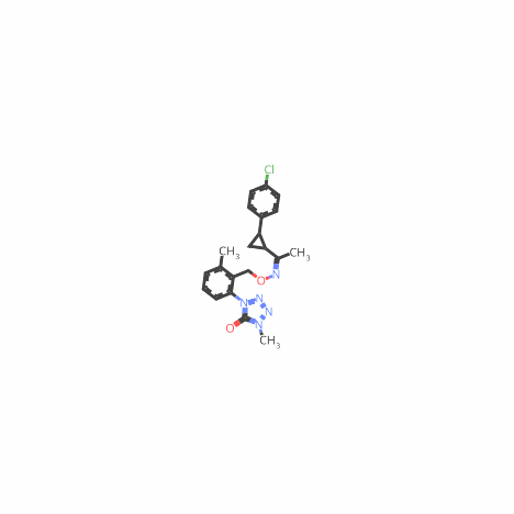 C/C(=N/OCc1c(C)cccc1-n1nnn(C)c1=O)C1CC1c1ccc(Cl)cc1